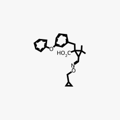 CC1(C)C(C=NOCC2CC2)C1(Cc1cccc(Oc2ccccc2)c1)C(=O)O